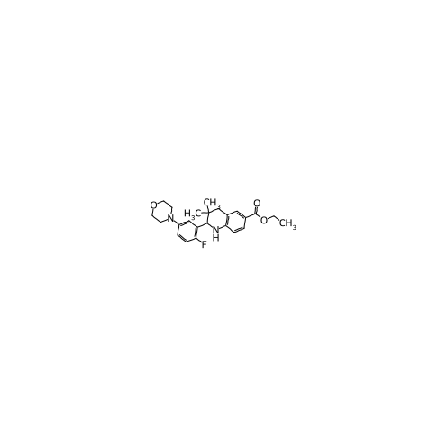 CCOC(=O)c1ccc2c(c1)CC(C)(C)C(c1cc(N3CCOCC3)ccc1F)N2